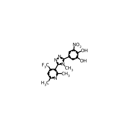 Cc1cc(C(F)(F)F)c(-c2nnc(-c3cc(O)c(O)c([N+](=O)[O-])c3)n2C)c(C)n1